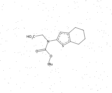 CC(C)(C)OC(=O)N(CC(=O)O)c1cc2c(s1)CCCC2